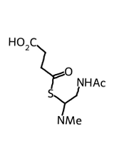 CNC(CNC(C)=O)SC(=O)CCC(=O)O